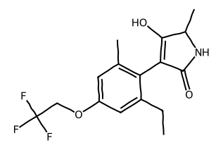 CCc1cc(OCC(F)(F)F)cc(C)c1C1=C(O)C(C)NC1=O